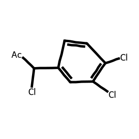 CC(=O)C(Cl)c1ccc(Cl)c(Cl)c1